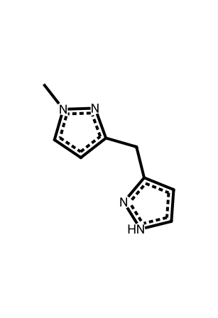 Cn1ccc(Cc2cc[nH]n2)n1